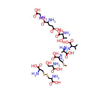 CC(C)C(N)C(=O)O.CC(N)C(=O)O.CC(O)C(N)C(=O)O.CSCCC(N)C(=O)O.NC(CCC(=O)O)C(=O)O.NC(CO)C(=O)O.NC(CSSCC(N)C(=O)O)C(=O)O.NCC(=O)O